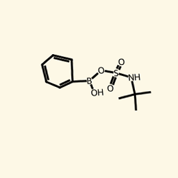 CC(C)(C)NS(=O)(=O)OB(O)c1ccccc1